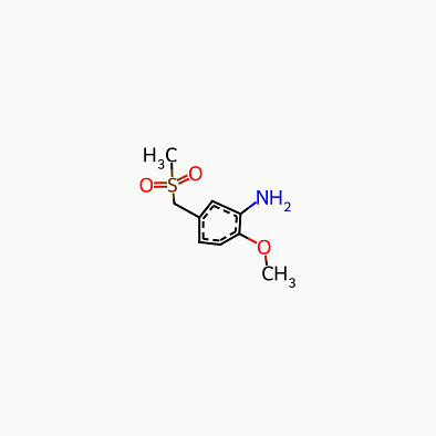 COc1ccc(CS(C)(=O)=O)cc1N